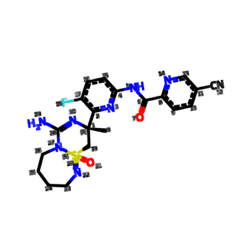 C[C@@]1(c2nc(NC(=O)c3ccc(C#N)cn3)ccc2F)C[S@@]2(=O)=NCCCCN2C(N)=N1